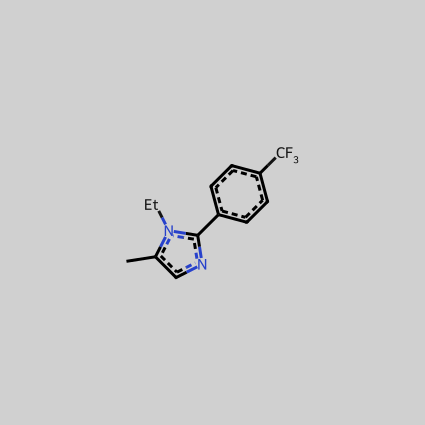 CCn1c(C)cnc1-c1ccc(C(F)(F)F)cc1